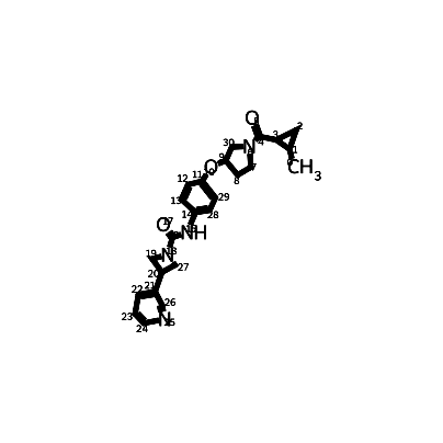 CC1CC1C(=O)N1CCC(Oc2ccc(NC(=O)N3CC(c4cccnc4)C3)cc2)C1